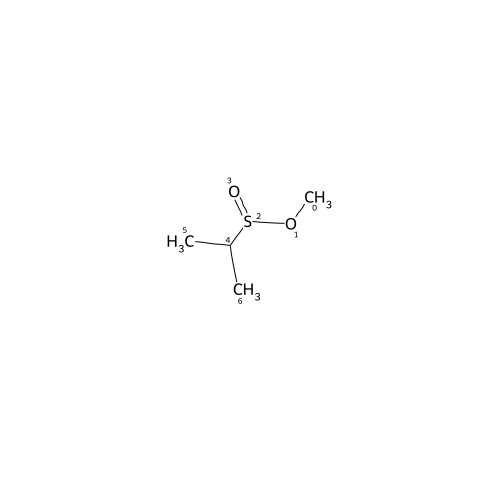 COS(=O)C(C)C